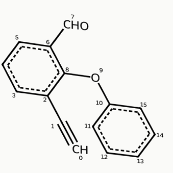 C#Cc1cccc(C=O)c1Oc1ccccc1